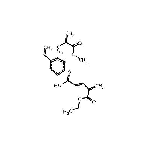 C=C(C)C(=O)OC.C=C(C=CC(=O)O)C(=O)OCC.C=Cc1ccccc1